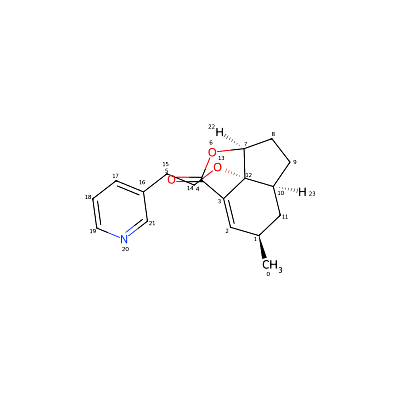 C[C@H]1C=C2C(=O)O[C@H]3CC[C@@H](C1)[C@@]23OCCc1cccnc1